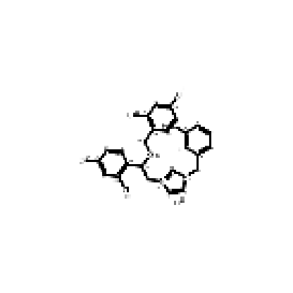 Cc1cccc(Cn2cc[n+](CC(OCc3ccc(Cl)cc3Cl)c3ccc(Cl)cc3Cl)c2)c1.[Br-]